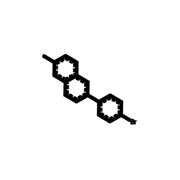 Cc1ccc2cc(-c3ccc(Br)cc3)ccc2c1